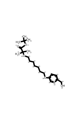 CC(C)(C)OC(=O)C(C)(C)OCCCCCCCOc1ccc(CO)nc1